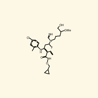 C=C/C(C(=O)NOCC1CC1)=C(\CC(F)N(C=N)CCCC(CO)OC)Nc1ccc(Cl)cc1C